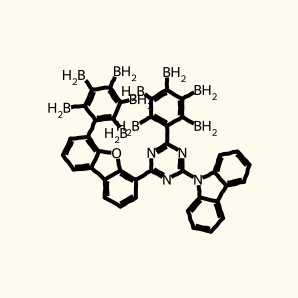 Bc1c(B)c(B)c(-c2nc(-c3cccc4c3oc3c(-c5c(B)c(B)c(B)c(B)c5B)cccc34)nc(-n3c4ccccc4c4ccccc43)n2)c(B)c1B